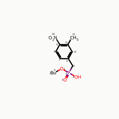 CCC(C)OP(=O)(O)Cc1ccc([N+](=O)[O-])c(C)c1